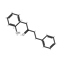 O=C(CCc1ccccc1)Cc1ccccc1O